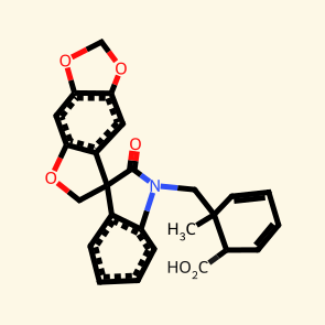 CC1(CN2C(=O)C3(COc4cc5c(cc43)OCO5)c3ccccc32)C=CC=CC1C(=O)O